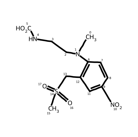 CN(CCNC(=O)O)c1ccc([N+](=O)[O-])cc1CS(C)(=O)=O